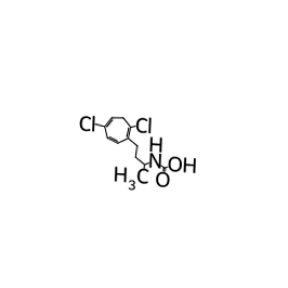 CC(CCC1=C(Cl)CC=C(Cl)C=C1)NC(=O)O